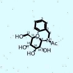 CC(=O)N(Cc1ccccc1)[C@@H]1O[C@H](CO)[C@@H](O)[C@H](O)[C@H]1O